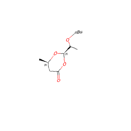 CCCCOC(C)[C@H]1OC(=O)C[C@@H](C)O1